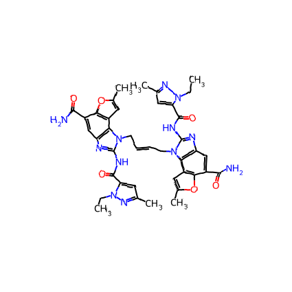 CCn1nc(C)cc1C(=O)Nc1nc2cc(C(N)=O)c3oc(C)cc3c2n1C/C=C/Cn1c(NC(=O)c2cc(C)nn2CC)nc2cc(C(N)=O)c3oc(C)cc3c21